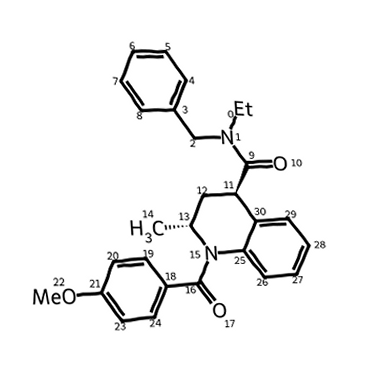 CCN(Cc1ccccc1)C(=O)[C@@H]1C[C@@H](C)N(C(=O)c2ccc(OC)cc2)c2ccccc21